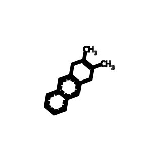 CC1=C(C)Cc2cc3ccccc3cc2C1